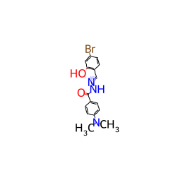 CN(C)c1ccc(C(=O)N/N=C/c2ccc(Br)cc2O)cc1